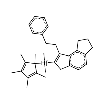 CC1=C(C)[C](C)([Hf]([CH3])([CH3])[C]2=C(CCc3ccccc3)c3c(ccc4c3CCC4)C2)C(C)=C1C